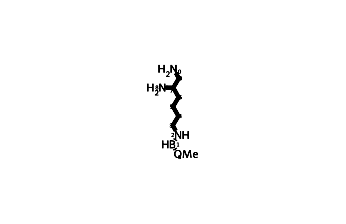 COBNCCCCC(N)CN